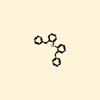 c1ccc(Cc2ccccc2[Se]c2ccccc2Cc2ccccc2)cc1